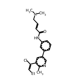 CC/C=C(/Cl)c1cc(-c2cccc(NC(=O)/C=C/CN(C)C)c2)cnc1C